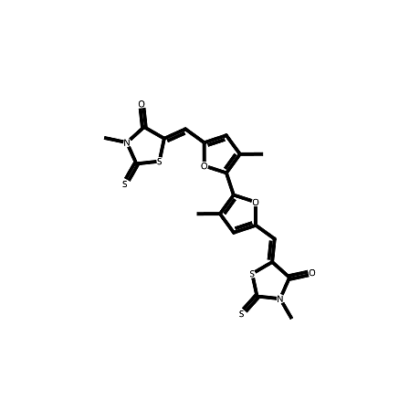 Cc1cc(/C=C2\SC(=S)N(C)C2=O)oc1-c1oc(/C=C2\SC(=S)N(C)C2=O)cc1C